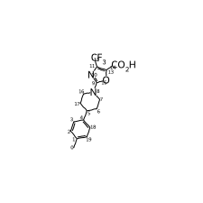 Cc1ccc(C2CCN(c3nc(C(F)(F)F)c(C(=O)O)o3)CC2)cc1